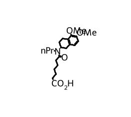 CCCN(C(=O)CCCCCC(=O)O)[C@H]1CCc2c(ccc(OC)c2OC)C1